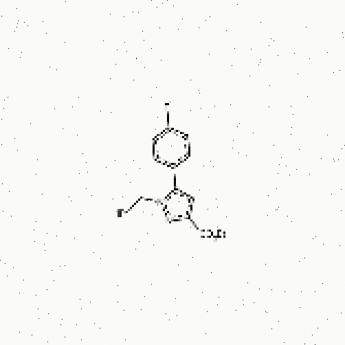 CCOC(=O)c1cc(-c2ccc(F)cc2)n(CC(C)C)n1